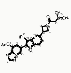 COc1cc(-c2[nH]c3ccc(C4CN(C(=O)CN(C)C)C4)nc3c2C(C)C)cn2ncnc12